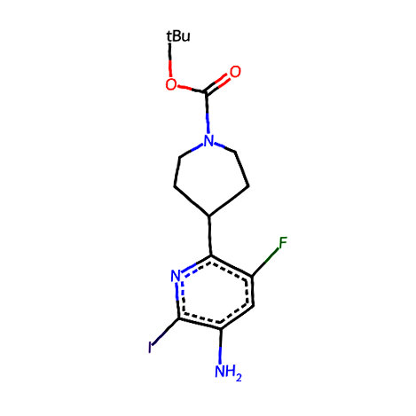 CC(C)(C)OC(=O)N1CCC(c2nc(I)c(N)cc2F)CC1